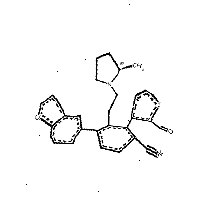 C[C@@H]1CCCN1CCc1c(-c2ccc3occc3c2)ccc(C#N)c1-c1ccsc1C=O